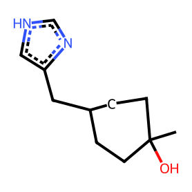 CC1(O)CCC(Cc2c[nH]cn2)CC1